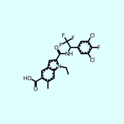 CCn1c(C(=O)NC(c2cc(Cl)c(F)c(Cl)c2)C(F)(F)F)cc2cc(C(=O)O)c(C)cc21